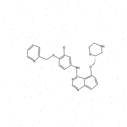 Clc1cc(Nc2ncnc3cccc(OC[C@H]4CNCCO4)c23)ccc1OCc1ccccn1